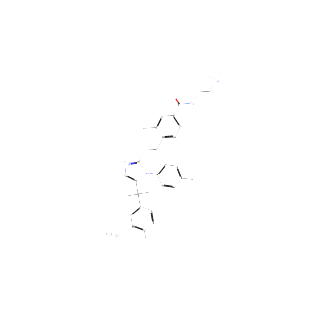 COc1cc(C(C)(C)c2cnc(SCc3c(F)cc(C(=O)NCC[N+](C)(C)C)cc3Cl)n2-c2ccc(F)cc2)ccc1Cl